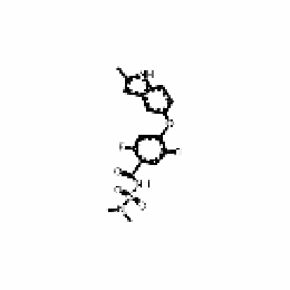 Cc1cc2cc(Oc3cc(F)c(C(=O)NS(=O)(=O)N(C)C)cc3Cl)ccc2[nH]1